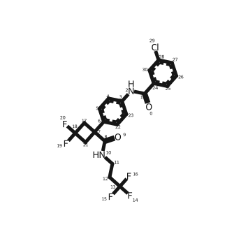 O=C(Nc1ccc(C2(C(=O)NCCC(F)(F)F)CC(F)(F)C2)cc1)c1cccc(Cl)c1